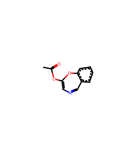 CC(=O)OC1=CN=Cc2ccccc2O1